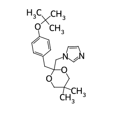 CC1(C)COC(Cc2ccc(OC(C)(C)C)cc2)(Cn2ccnc2)OC1